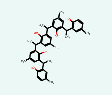 Cc1ccc(O)c(C(C)c2cc(C)cc(C(C)c3cc(C)cc(C(C)c4cc(C)cc(C(C)c5cc(C)ccc5O)c4O)c3O)c2O)c1